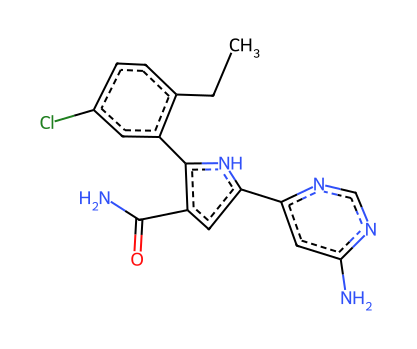 CCc1ccc(Cl)cc1-c1[nH]c(-c2cc(N)ncn2)cc1C(N)=O